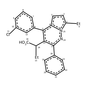 CCc1ccc2c(-c3cccc(Cl)c3)c(C(CC)C(=O)O)c(-c3ccccc3)nn12